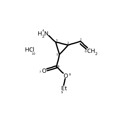 C=CC1C(N)C1C(=O)OCC.Cl